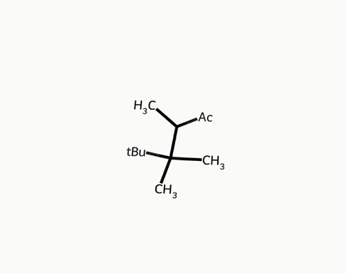 CC(=O)C(C)C(C)(C)C(C)(C)C